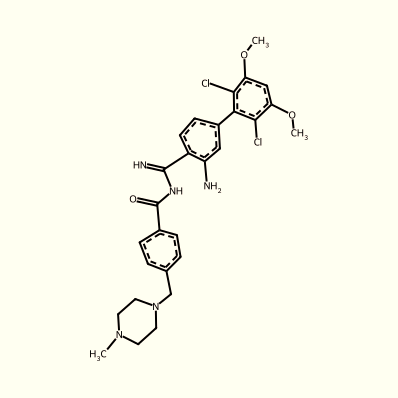 COc1cc(OC)c(Cl)c(-c2ccc(C(=N)NC(=O)c3ccc(CN4CCN(C)CC4)cc3)c(N)c2)c1Cl